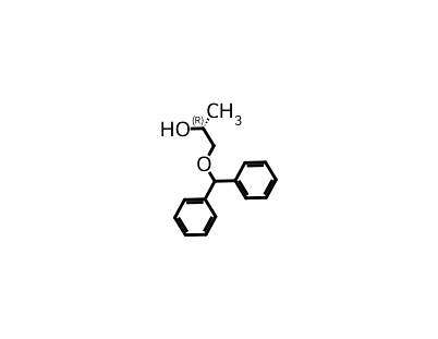 C[C@@H](O)COC(c1ccccc1)c1ccccc1